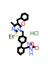 CCSc1nc(C)c(Cc2ccccc2)c(=O)n1Cc1ccc(-c2ccccc2-c2noc(=O)[nH]2)cc1.Cl